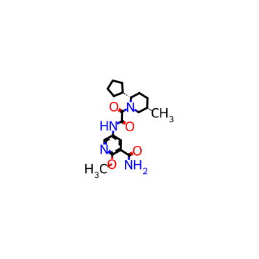 COc1ncc(NC(=O)C(=O)N2C[C@@H](C)CC[C@H]2C2CCCC2)cc1C(N)=O